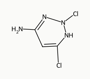 NC1=NN(Cl)NC(Cl)=C1